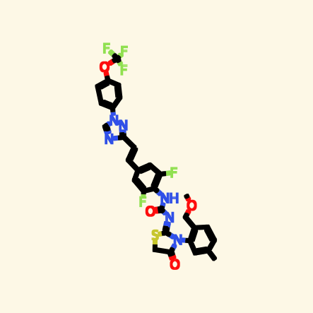 COCc1ccc(C)cc1N1C(=O)CSC1=NC(=O)Nc1c(F)cc(C=Cc2ncn(-c3ccc(OC(F)(F)F)cc3)n2)cc1F